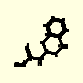 CNC(=O)NC1CNc2ccccc2C1